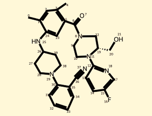 Cc1cc(C)c(C(=O)N2CCN(c3ccc(F)cn3)[C@@H](CO)C2)cc1NC1CCN(c2ccccc2C#N)CC1